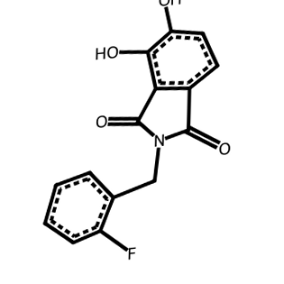 O=C1c2ccc(O)c(O)c2C(=O)N1Cc1ccccc1F